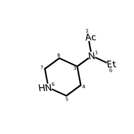 CCN(C(C)=O)C1CCNCC1